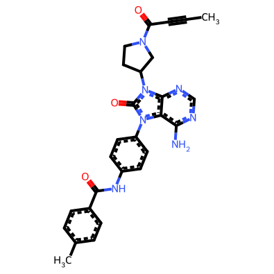 CC#CC(=O)N1CCC(n2c(=O)n(-c3ccc(NC(=O)c4ccc(C)cc4)cc3)c3c(N)ncnc32)C1